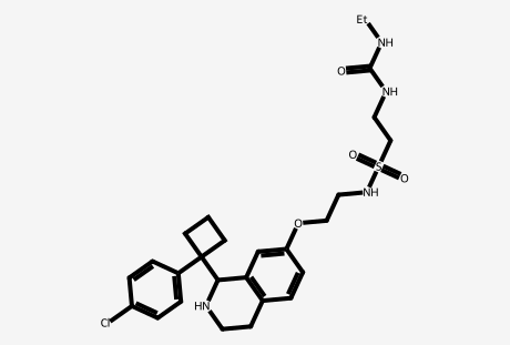 CCNC(=O)NCCS(=O)(=O)NCCOc1ccc2c(c1)C(C1(c3ccc(Cl)cc3)CCC1)NCC2